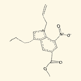 C=CCn1cc(CCC)c2cc(C(=O)OC)cc([N+](=O)[O-])c21